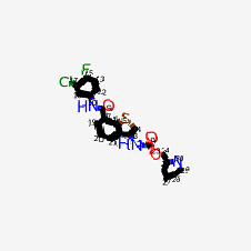 O=C(NC1CSc2c(C(=O)Nc3ccc(F)c(Cl)c3)cccc21)OCc1ccccn1